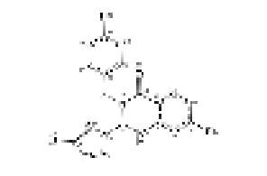 CCc1ccc(C2Nc3cc(F)ccc3C(=O)N2Cc2ccc(F)cc2)s1